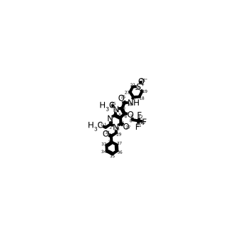 CCc1nc2c(c(OCC(F)(F)F)c(C(=O)NC3CC[S+]([O-])CC3)n2C)c(=O)n1CC(=O)c1ccccc1